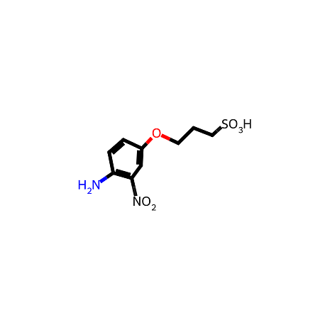 Nc1ccc(OCCCS(=O)(=O)O)cc1[N+](=O)[O-]